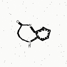 O=C1CC[SH]=c2ccccc2=N1